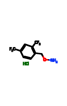 Cl.NOCc1ccc(C(F)(F)F)cc1C(F)(F)F